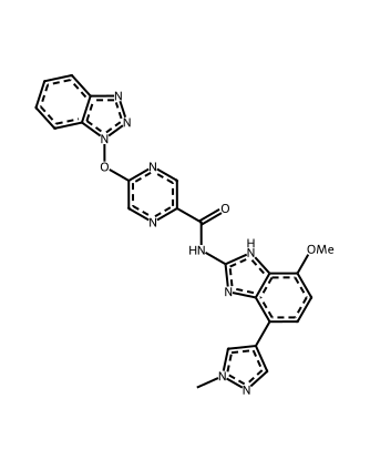 COc1ccc(-c2cnn(C)c2)c2nc(NC(=O)c3cnc(On4nnc5ccccc54)cn3)[nH]c12